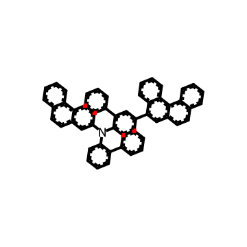 c1ccc(-c2ccccc2N(c2ccc3c(ccc4ccccc43)c2)c2ccc(-c3cc4ccc5ccccc5c4c4ccccc34)cc2-c2ccccc2)cc1